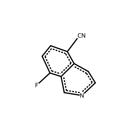 N#Cc1ccc(F)c2cnccc12